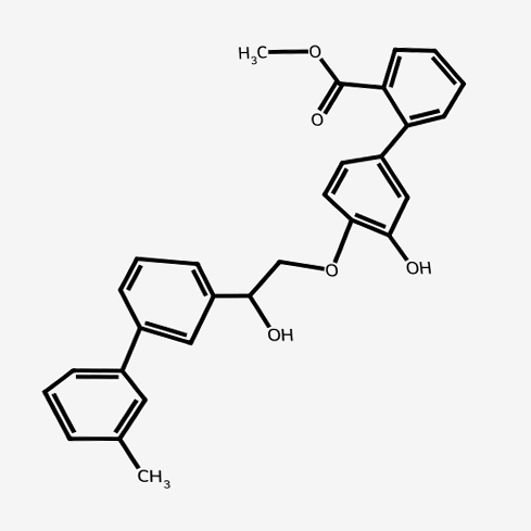 COC(=O)c1ccccc1-c1ccc(OCC(O)c2cccc(-c3cccc(C)c3)c2)c(O)c1